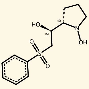 O=S(=O)(C[C@@H](O)[C@@H]1CCCN1O)c1ccccc1